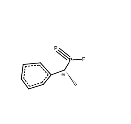 C[C@H](c1ccccc1)P(F)#P